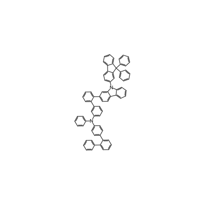 c1ccc(-c2ccccc2-c2ccc(N(c3ccccc3)c3cccc(-c4ccccc4-c4ccc5c6ccccc6n(-c6ccc7c(c6)C(c6ccccc6)(c6ccccc6)c6ccccc6-7)c5c4)c3)cc2)cc1